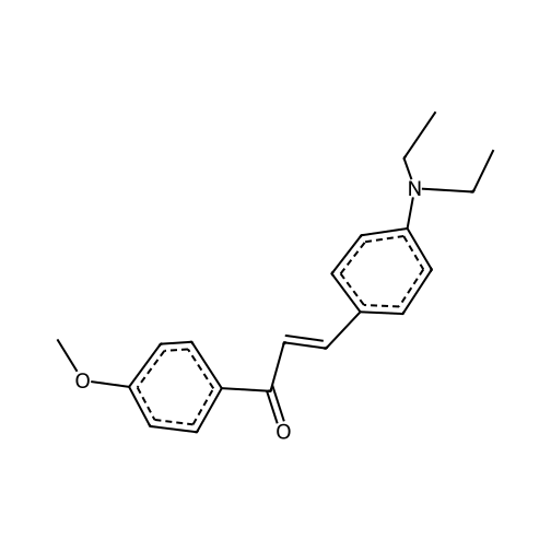 CCN(CC)c1ccc(/C=C/C(=O)c2ccc(OC)cc2)cc1